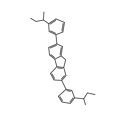 CCC(C)c1cccc(-c2[c]c3c(cc2)-c2ccc(-c4cccc(C(C)CC)c4)cc2C3)c1